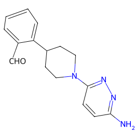 Nc1ccc(N2CCC(c3ccccc3C=O)CC2)nn1